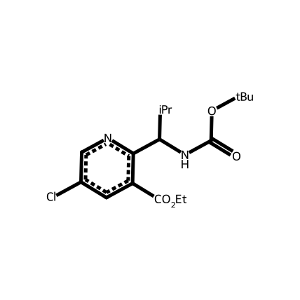 CCOC(=O)c1cc(Cl)cnc1C(NC(=O)OC(C)(C)C)C(C)C